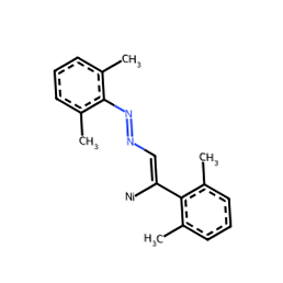 Cc1cccc(C)c1N=NC=[C]([Ni])c1c(C)cccc1C